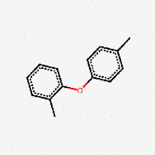 Cc1ccc(Oc2cc[c]cc2C)cc1